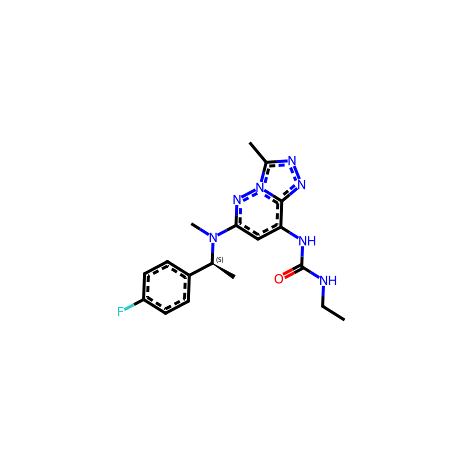 CCNC(=O)Nc1cc(N(C)[C@@H](C)c2ccc(F)cc2)nn2c(C)nnc12